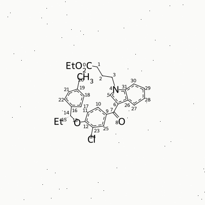 CCOC(=O)CCCn1cc(C(=O)c2ccc(O[C@H](CC)c3ccc(C)cc3)c(Cl)c2)c2ccccc21